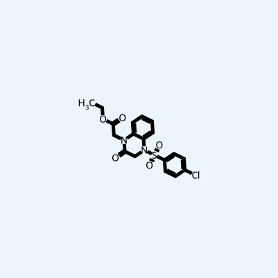 CCOC(=O)CN1C(=O)CN(S(=O)(=O)c2ccc(Cl)cc2)c2ccccc21